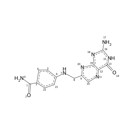 NC(=O)c1ccc(NCc2cnc3c(=O)[nH]c(N)nc3n2)cc1